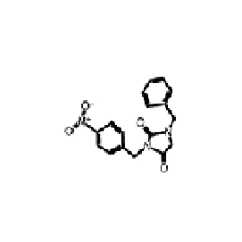 O=C1CN(Cc2ccccc2)C(=O)N1Cc1ccc([N+](=O)[O-])cc1